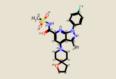 CC(C)c1nn(-c2ccc(F)cc2)c2nc(C(=O)NS(C)(=O)=O)cc(N3CCC4(CCCO4)CC3)c12